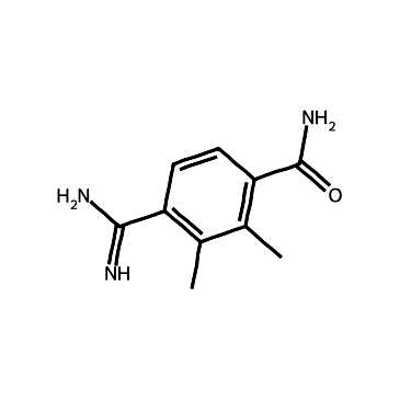 Cc1c(C(=N)N)ccc(C(N)=O)c1C